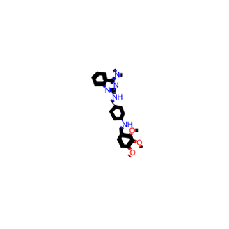 COc1ccc(CN[C@H]2CC[C@@H](CNc3nc(N(C)C)c4ccccc4n3)CC2)c(OC)c1OC